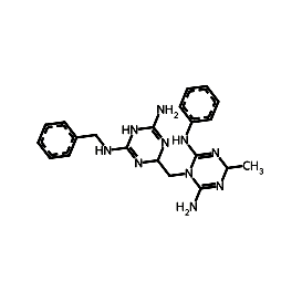 CC1N=C(N)N(CC2N=C(N)NC(NCc3ccccc3)=N2)C(Nc2ccccc2)=N1